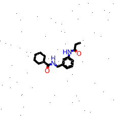 CCC(=O)Nc1cccc(CNC(=O)C2CCCCC2)c1